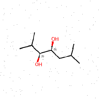 CC(C)C[C@H](O)[C@@H](O)C(C)C